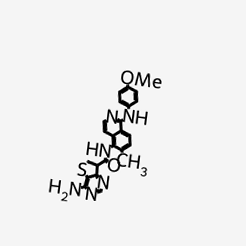 COc1ccc(Nc2nccc3c(NC(=O)C4CSc5c(N)ncnc54)c(C)ccc23)cc1